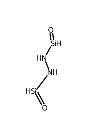 O=[SiH]NN[SiH]=O